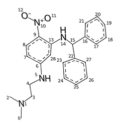 CN(C)CCNc1ccc([N+](=O)[O-])c(NC(c2ccccc2)c2ccccc2)c1